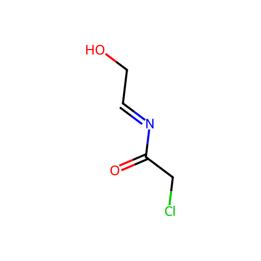 O=C(CCl)N=CCO